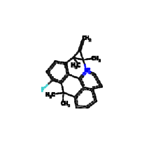 C=C1C2(C)c3ccc(F)c4c3-c3c5c(cccc5cc[n+]3C12C)C4(C)C